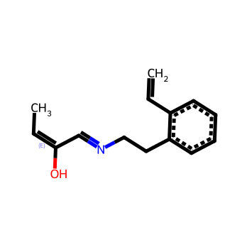 C=Cc1ccccc1CCN=C/C(O)=C\C